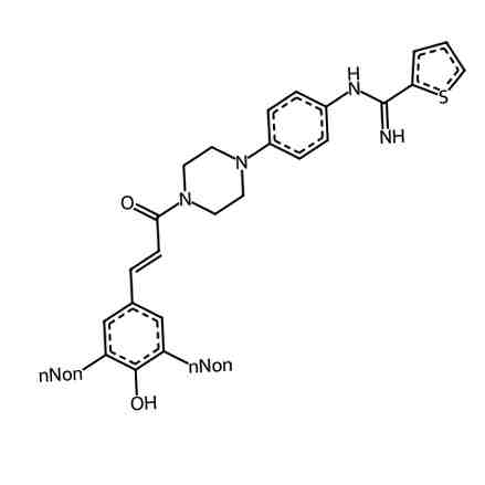 CCCCCCCCCc1cc(C=CC(=O)N2CCN(c3ccc(NC(=N)c4cccs4)cc3)CC2)cc(CCCCCCCCC)c1O